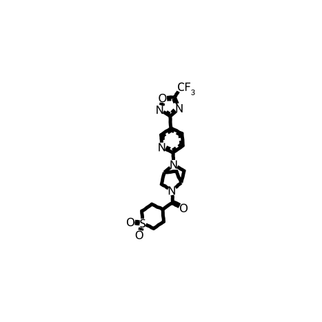 O=C(C1CCS(=O)(=O)CC1)N1CC2CC1CN2c1ccc(-c2noc(C(F)(F)F)n2)cn1